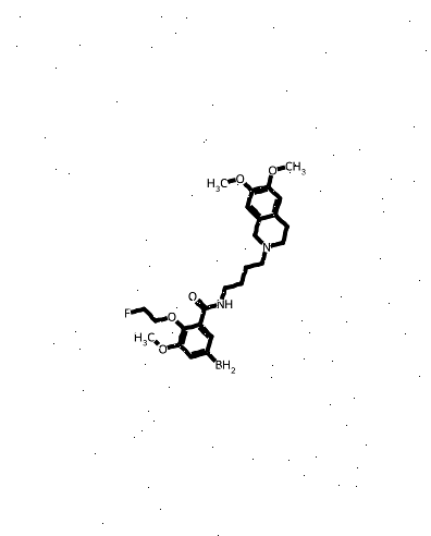 Bc1cc(OC)c(OCCF)c(C(=O)NCCCCN2CCc3cc(OC)c(OC)cc3C2)c1